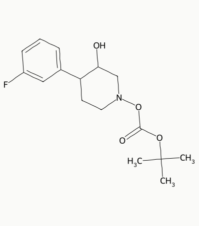 CC(C)(C)OC(=O)ON1CCC(c2cccc(F)c2)C(O)C1